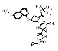 C=C[C@@H]1C[C@]1(NC(=O)[C@@H]1CC(Oc2nccc3cc(OC)ccc23)CN1C(=O)OC(C)(C)C)C(=O)NS(=O)(=O)OC1CC1